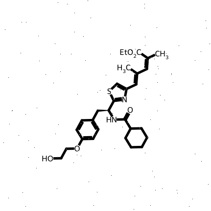 CCOC(=O)/C(C)=C\C(C)=C\c1csc([C@H](Cc2ccc(OCCO)cc2)NC(=O)C2CCCCC2)n1